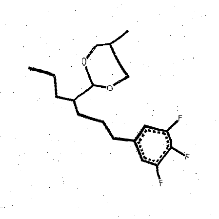 CCCC(CCCc1cc(F)c(F)c(F)c1)C1OCC(C)CO1